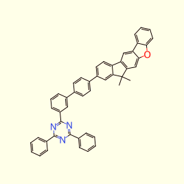 CC1(C)c2cc(-c3ccc(-c4cccc(-c5nc(-c6ccccc6)nc(-c6ccccc6)n5)c4)cc3)ccc2-c2cc3c(cc21)oc1ccccc13